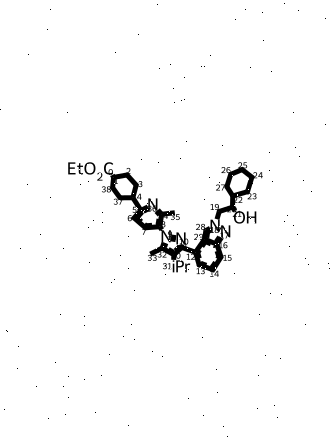 CCOC(=O)C1CCC(c2ccc(-n3nc(-c4cccc5nn(CC(O)C6CCCCC6)cc45)c(C(C)C)c3C)c(C)n2)CC1